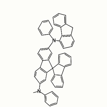 CN(c1ccccc1)c1ccc2c(c1)C1(c3ccccc3-c3ccccc31)c1cc(N(c3ccccc3)c3cccc4c3-c3ccccc3C4)ccc1-2